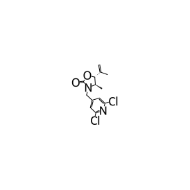 C=C(C)[C@H]1OC(=O)N(Cc2cc(Cl)nc(Cl)c2)[C@@H]1C